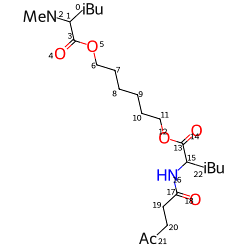 CCC(C)C(NC)C(=O)OCCCCCCOC(=O)C(NC(=O)CCC(C)=O)C(C)CC